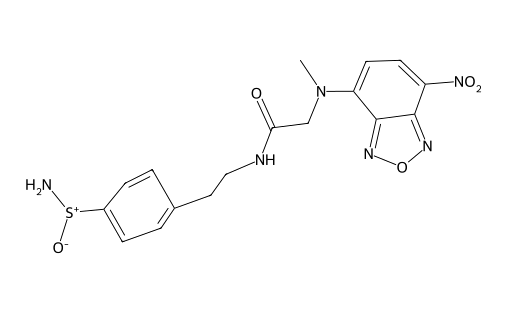 CN(CC(=O)NCCc1ccc([S+](N)[O-])cc1)c1ccc([N+](=O)[O-])c2nonc12